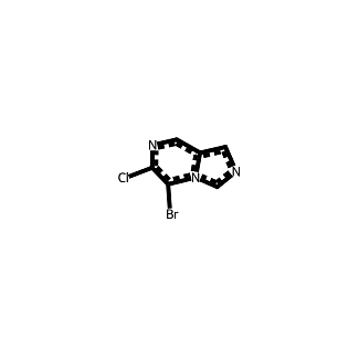 Clc1ncc2cncn2c1Br